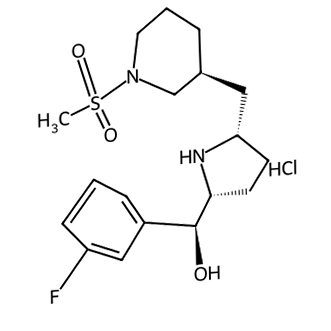 CS(=O)(=O)N1CCC[C@@H](C[C@@H]2CC[C@H]([C@@H](O)c3cccc(F)c3)N2)C1.Cl